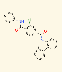 O=C(Nc1ccccc1)c1ccc(C(=O)N2Cc3ccccc3-c3ccccc32)cc1Cl